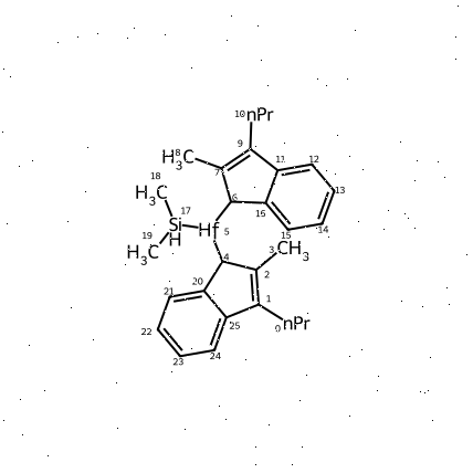 CCCC1=C(C)[CH]([Hf]([CH]2C(C)=C(CCC)c3ccccc32)[SiH](C)C)c2ccccc21